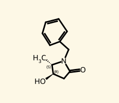 C[C@H]1[C@H](O)CC(=O)N1Cc1ccccc1